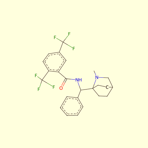 CN1CC2CCC1(C(NC(=O)c1cc(C(F)(F)F)ccc1C(F)(F)F)c1ccccc1)CC2